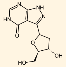 O=c1[nH]cnc2[nH]nc(C3C[C@H](O)[C@@H](CO)O3)c12